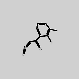 [N-]=[N+]=CC(=O)c1cccc(F)c1F